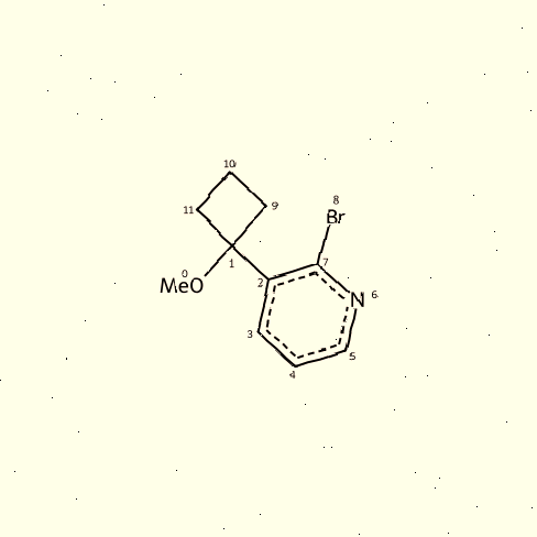 COC1(c2cccnc2Br)CCC1